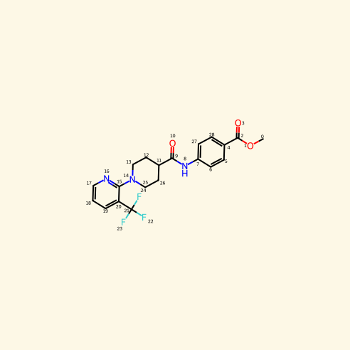 COC(=O)c1ccc(NC(=O)C2CCN(c3ncccc3C(F)(F)F)CC2)cc1